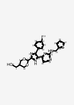 OCC1COC(c2nc(-c3ccc(F)cc3)c(-c3ccnc(NCc4cccs4)n3)[nH]2)OC1